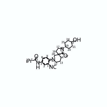 [C-]#[N+]c1cc(NC(=O)C(C)C)ccc1N1CCC[C@]2(CCN([C@H]3CC[C@H](O)CC3)C2=O)C1